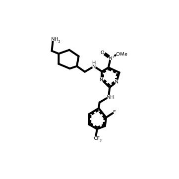 CO[N+](=O)c1cnc(NCc2ccc(C(F)(F)F)cc2F)nc1NCC1CCC(CN)CC1